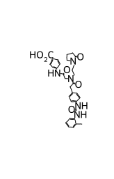 Cc1ccccc1NC(=O)Nc1ccc(CC(=O)N(CCCN2CCCC2=O)CC(=O)Nc2ccc(C(=O)O)cc2)cc1